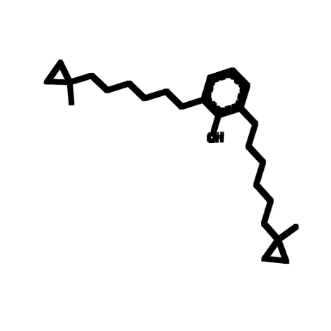 CC1(CCCCCCc2cccc(CCCCCCC3(C)CC3)c2O)CC1